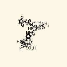 CCC(=O)N[C@H](C(=O)O)[C@H](OP(=O)(O)OCc1ccc(NC(=O)[C@H](CCCNC(N)=O)NC(=O)[C@@H](NC(=O)CCN2C(=O)C=CC2=O)C(C)C)cc1)C(C)C